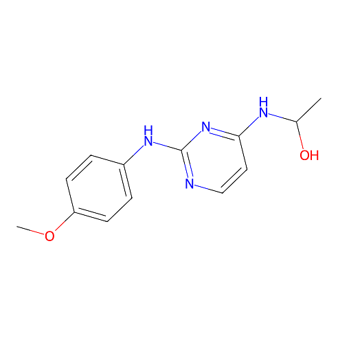 COc1ccc(Nc2nccc(NC(C)O)n2)cc1